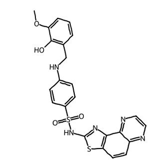 COc1cccc(CNc2ccc(S(=O)(=O)Nc3nc4c(ccc5nccnc54)s3)cc2)c1O